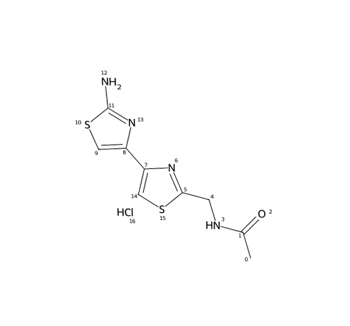 CC(=O)NCc1nc(-c2csc(N)n2)cs1.Cl